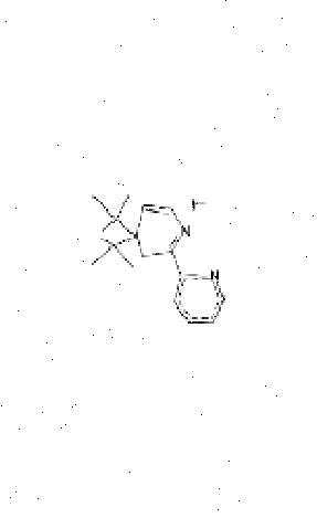 CC(C)(C)C1(C(C)(C)C)C=CN=C(c2ccccn2)C1.[Ir+]